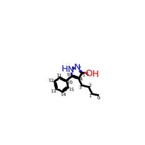 CCCCc1c(O)n[nH]c1-c1ccccc1